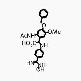 COc1cc(C(Nc2ccc(C(=N)NO)cc2)C(=O)O)c(NC(C)=O)cc1OCc1ccccc1